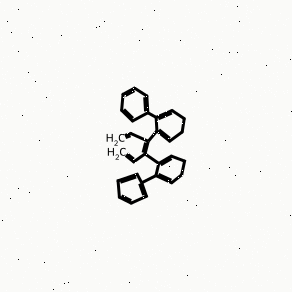 C=C/C(C1=CCCC=C1c1ccccc1)=C(\C=C)C1=CCCC=C1c1ccccc1